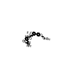 CCCCOCCOc1ccc(-c2ccc(C(F)(F)F)c(/C=C/C(=O)Nc3ccc4c(c3)-c3ncn(CCC)c3C[S@+]4[O-])c2)cc1